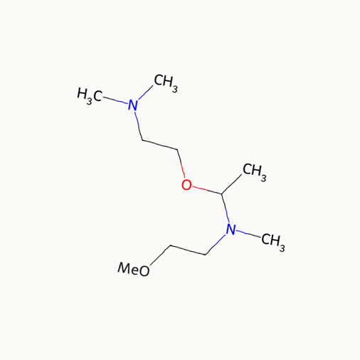 COCCN(C)C(C)OCCN(C)C